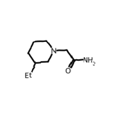 CCC1CCCN(CC(N)=O)C1